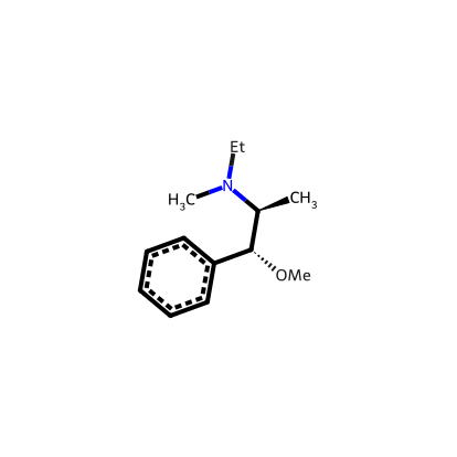 CCN(C)[C@@H](C)[C@H](OC)c1ccccc1